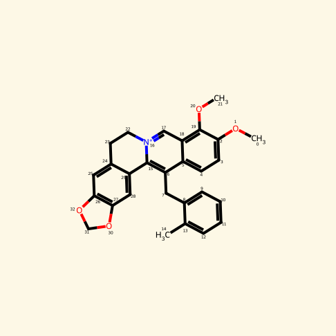 COc1ccc2c(Cc3ccccc3C)c3[n+](cc2c1OC)CCc1cc2c(cc1-3)OCO2